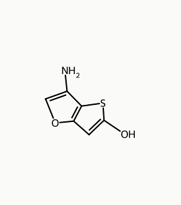 Nc1coc2cc(O)sc12